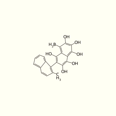 Bc1c(O)c(O)c(O)c2c(O)c(O)c(-c3c(C)ccc4ccccc34)c(O)c12